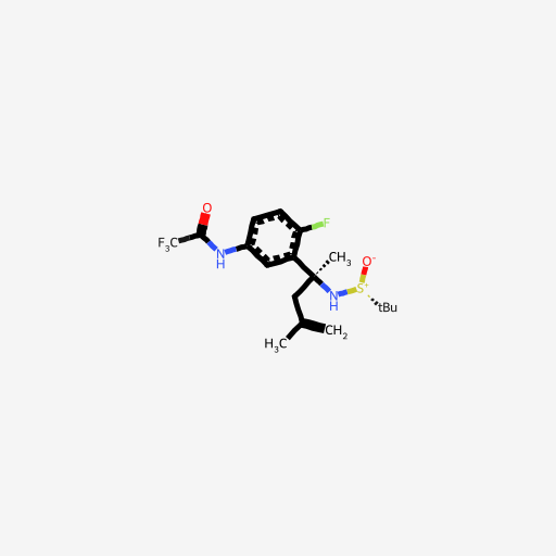 C=C(C)C[C@](C)(N[S@+]([O-])C(C)(C)C)c1cc(NC(=O)C(F)(F)F)ccc1F